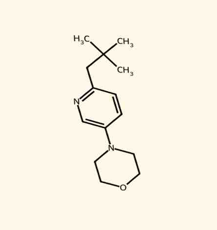 CC(C)(C)Cc1ccc(N2CCOCC2)cn1